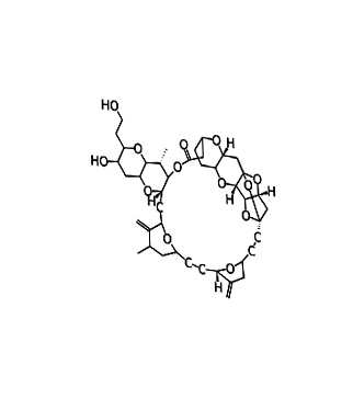 C=C1C(C)CC2CC[C@@H]3OC(CC[C@@]45C[C@H]6OC7C(O4)[C@H]4OC(CCC4O[C@H]7C6O5)CC(=O)OC4[C@@H](C)C5OC(CCO)C(O)CC5O[C@H]4CC1O2)CC3=C